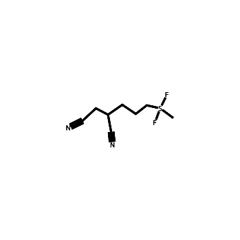 CS(F)(F)CCCC(C#N)CC#N